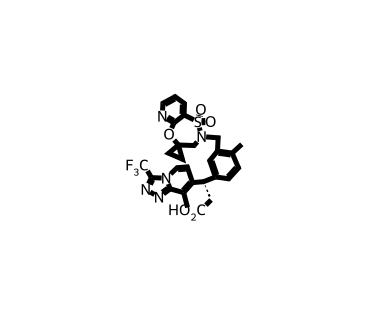 Cc1ccc([C@H](CC(=O)O)c2ccn3c(C(F)(F)F)nnc3c2C)cc1CN1CC2(CC2)Oc2ncccc2S1(=O)=O